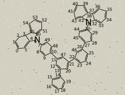 C1=CCC2C(=C1)N(c1ccc(-c3cc(-c4ccccc4)cc(-c4cccc(-c5ccc(-n6c7ccccc7c7ccccc76)cc5)c4)c3)cc1)c1ccccc12